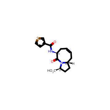 O=C(N[C@H]1C/C=C\C[C@@H]2CC[C@@H](C(=O)O)N2C1=O)c1ccsc1